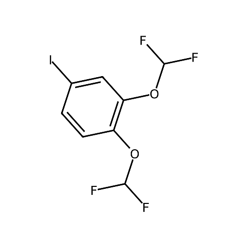 FC(F)Oc1ccc(I)cc1OC(F)F